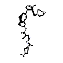 C=C(/C=C\N=C(/C)N1CC(N(C)C)C1)C(=O)Nc1cc2cc(-c3cnn(C)c3CN3CCOCC3)ccc2cn1